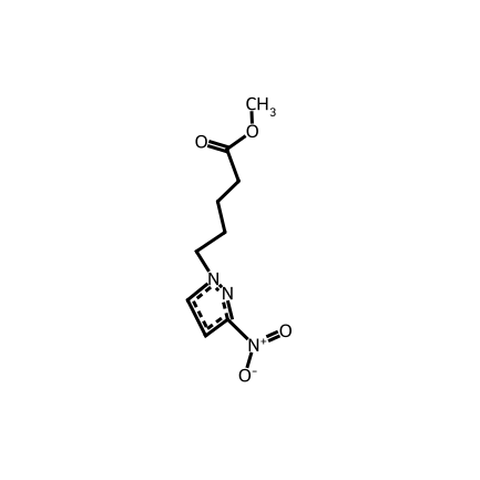 COC(=O)CCCCn1ccc([N+](=O)[O-])n1